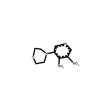 Nc1c(N2CCOCC2)cncc1[N+](=O)[O-]